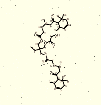 CCC(COC(=O)CS)(COC(=O)CS[C@H](C)CC(=O)C1C(C)C=CCC1(C)C)COC(=O)CS[C@@H](C)CC(=O)C1C(C)C=CCC1(C)C